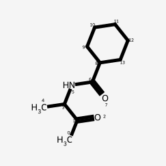 CC(=O)C(C)NC(=O)C1CCCCC1